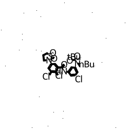 CCCCN(C(=O)OC(C)(C)C)c1cc(Cl)cc(NC(=O)c2cc(N3CCCS3(=O)=O)cc(Cl)c2Cl)c1